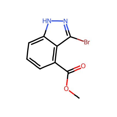 COC(=O)c1cccc2[nH]nc(Br)c12